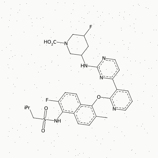 Cc1ccc2c(NS(=O)(=O)CC(C)C)c(F)ccc2c1Oc1ncccc1-c1ccnc(NC2CC(F)CN(C(=O)O)C2)n1